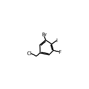 Fc1cc(CCl)cc(Br)c1I